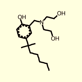 CCCCCC(C)(C)c1ccc(O)c(CN(CCO)CCO)c1